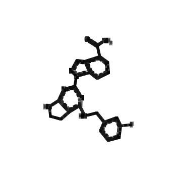 NC(=O)c1cccc2c1cnn2-c1nc2c(c(NCc3cccc(F)c3)n1)CCN2